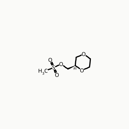 CS(=O)(=O)OC[C@H]1COCCO1